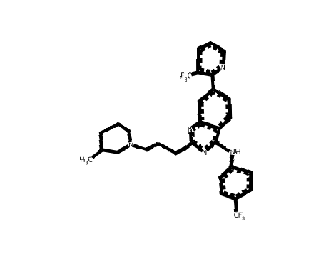 CC1CCCN(CCCc2nc(Nc3ccc(C(F)(F)F)cc3)c3ccc(-c4ncccc4C(F)(F)F)cc3n2)C1